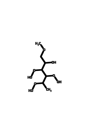 COCC(O)C(OO)C(OO)C(C)OO